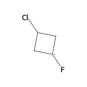 F[C]1CC(Cl)C1